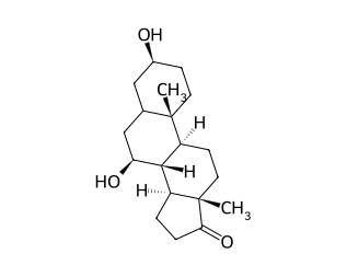 C[C@]12CC[C@H](O)CC1C[C@H](O)[C@@H]1[C@@H]2CC[C@]2(C)C(=O)CC[C@@H]12